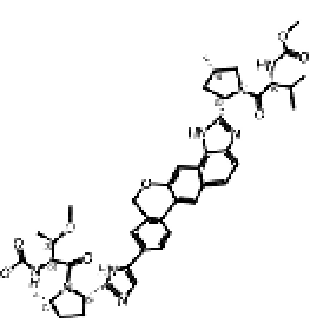 COC(=O)N[C@H](C(=O)N1C[C@@H](C)C[C@H]1c1nc2ccc3cc4c(cc3c2[nH]1)OCc1cc(-c2cnc([C@@H]3CC[C@H](C)N3C(=O)[C@@H](NC(=O)OC)[C@@H](C)OC)[nH]2)ccc1-4)C(C)C